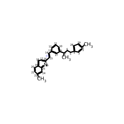 Cc1ccc(CCC(C)c2cccc(/C=C/c3ccc4ccc(C)cc4n3)c2)cc1